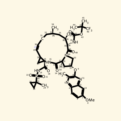 COc1ccc2nc(C)c(O[C@@H]3C[C@H]4C(=O)N[C@]5(C(=O)NS(=O)(=O)C6(C)CC6)CC5/C=C\CC[C@@H](C)C[C@@H](C)[C@H](NC(=O)OC(C)(C)C(F)(F)F)C(=O)N4C3)nc2c1